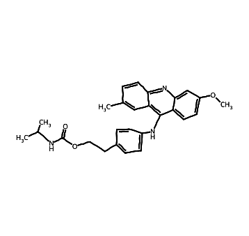 COc1ccc2c(Nc3ccc(CCOC(=O)NC(C)C)cc3)c3cc(C)ccc3nc2c1